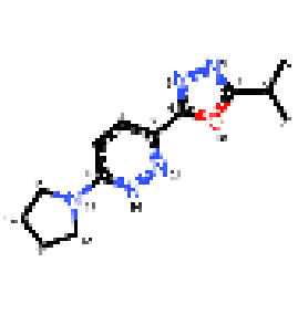 CC(C)c1nnc(-c2ccc(N3CCCC3)nn2)o1